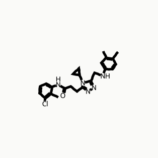 Cc1ccc(NCc2nnc(CCC(=O)Nc3cccc(Cl)c3C)n2C2CC2)cc1C